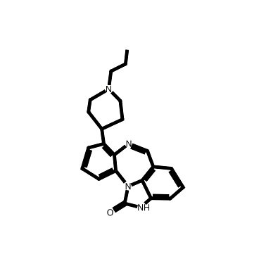 CCCN1CCC(c2cccc3c2N=Cc2cccc4[nH]c(=O)n-3c24)CC1